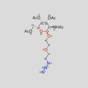 CC(=O)N[C@H]1[C@@H](OCCOCCN=[N+]=[N-])O[C@H](COC(C)=O)[C@H](OC(C)=O)[C@@H]1OC(C)=O